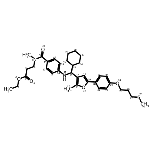 CCOC(=O)CCN(C)C(=O)c1ccc(NC(c2cc(-c3ccc(OCCCSC)cc3)oc2C)C2CCCCC2)cc1